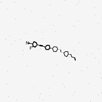 C=CCC[C@H]1CC[C@H](CC[C@H]2CC[C@H](c3ccc(C#Cc4ccc(C#N)c(F)c4)cc3)CC2)CC1